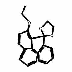 CCOc1ccc2ccccc2c1C1(c2ccccc2)OCCO1